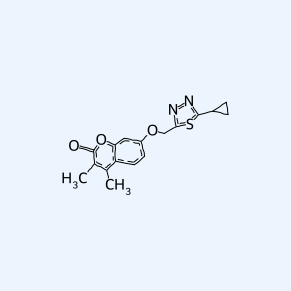 Cc1c(C)c2ccc(OCc3nnc(C4CC4)s3)cc2oc1=O